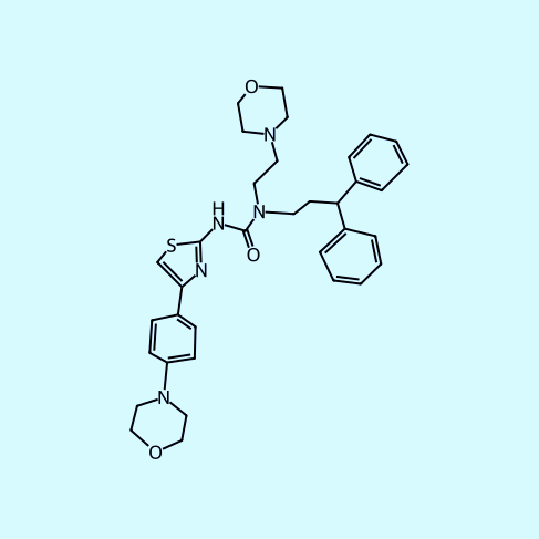 O=C(Nc1nc(-c2ccc(N3CCOCC3)cc2)cs1)N(CCC(c1ccccc1)c1ccccc1)CCN1CCOCC1